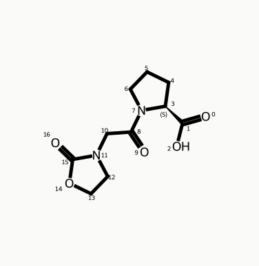 O=C(O)[C@@H]1CCCN1C(=O)CN1CCOC1=O